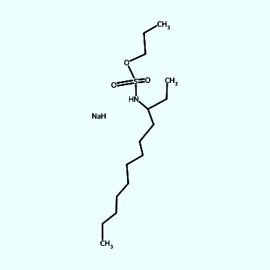 CCCCCCCCCC(CC)NS(=O)(=O)OCCC.[NaH]